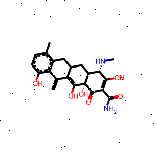 C=C1C2=C(O)[C@]3(O)C(=O)C(C(N)=O)=C(O)[C@@H](NC)C3CC2Cc2c(C)ccc(O)c21